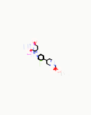 CC(C)(C)OC(=O)CN1CCC(c2ccc(N[C@@H]3CCC(=O)NC3=O)cc2F)CC1